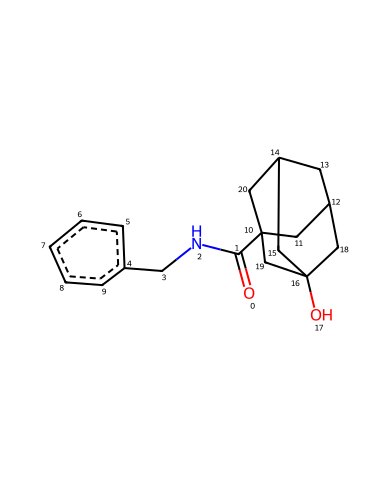 O=C(NCc1ccccc1)C12CC3CC(CC(O)(C3)C1)C2